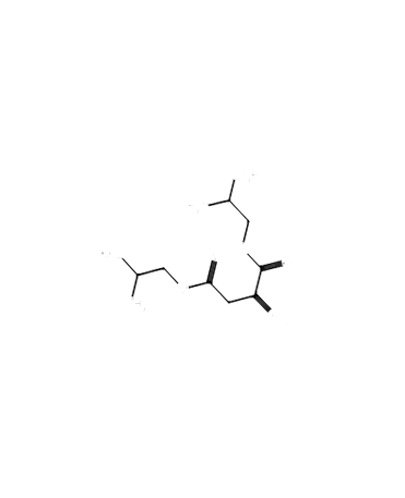 C=C(CC(=O)OCC(C)S(=O)(=O)O)C(=O)OCC(C)S(=O)(=O)O